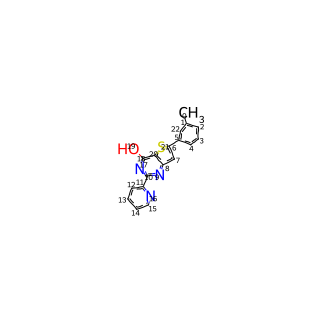 Cc1cccc(-c2cc3nc(-c4ccccn4)nc(O)c3s2)c1